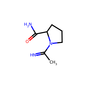 CC(=N)N1C[CH]CC1C(N)=O